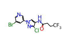 O=C(CCC(F)(F)F)Nc1cn(-c2cncc(Br)c2)nc1Cl